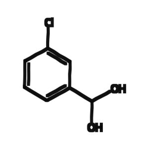 OC(O)c1cccc(Cl)c1